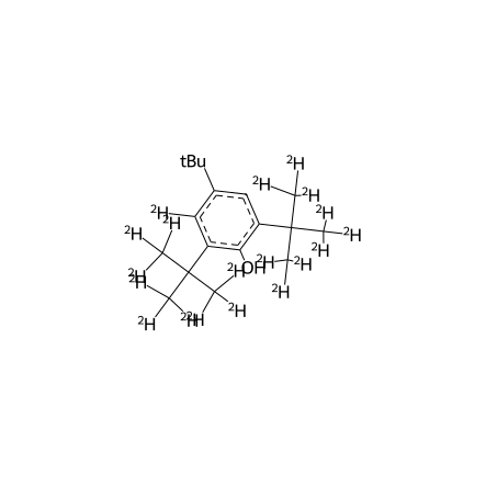 [2H]c1c(C(C)(C)C)cc(C(C([2H])([2H])[2H])(C([2H])([2H])[2H])C([2H])([2H])[2H])c(O)c1C(C([2H])([2H])[2H])(C([2H])([2H])[2H])C([2H])([2H])[2H]